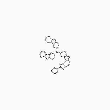 c1ccc(-c2nc3c(ccc4oc5ccc(N(c6ccc7oc8ccccc8c7c6)c6ccc7oc8ccccc8c7c6)cc5c43)s2)cc1